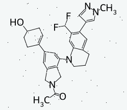 CC(=O)N1Cc2cc(C3=CCC(O)CC3)cc(N3CCCc4cc(-c5cnn(C)c5)c(C(F)F)cc43)c2C1